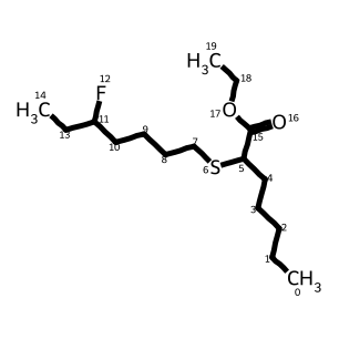 CCCCCC(SCCCCC(F)CC)C(=O)OCC